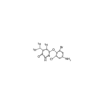 [2H]c1c(Oc2c(Cl)cc(N)cc2Br)n[nH]c(=O)c1C([2H])[2H]